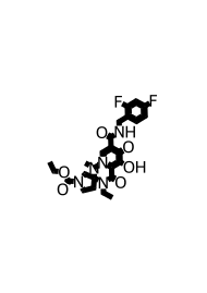 CCOC(=O)N1CCC2(C1)N(CC)C(=O)c1c(O)c(=O)c(C(=O)NCc3ccc(F)cc3F)cn1N2C